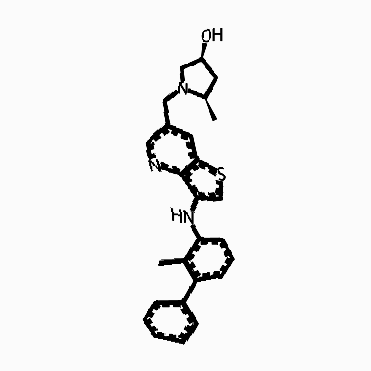 Cc1c(Nc2csc3cc(CN4C[C@@H](O)C[C@H]4C)cnc23)cccc1-c1ccccc1